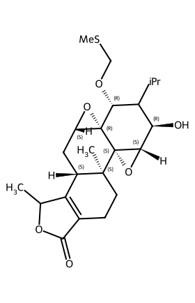 CSCO[C@@H]1C(C(C)C)[C@@H](O)[C@@H]2O[C@]23[C@]12O[C@H]2C[C@H]1C2=C(CC[C@@]13C)C(=O)OC2C